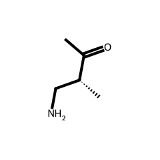 CC(=O)[C@H](C)CN